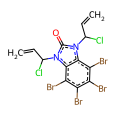 C=CC(Cl)n1c(=O)n(C(Cl)C=C)c2c(Br)c(Br)c(Br)c(Br)c21